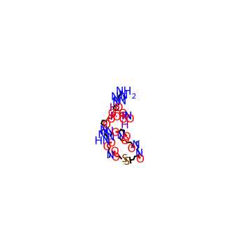 CN(CCN(C)C(=O)CCC(C)(C)SSCCOC(=O)N(C)CCOC(=O)Nc1ncnc2c1ncn2[C@H]1CC[C@@H](CO[PH](=O)O[C@H]2C[C@H](n3cnc4c(N)ncnc43)O[C@@H]2CO[PH](=O)N=O)O1)C(=O)CCOCCN1C(=O)C=CC1=O